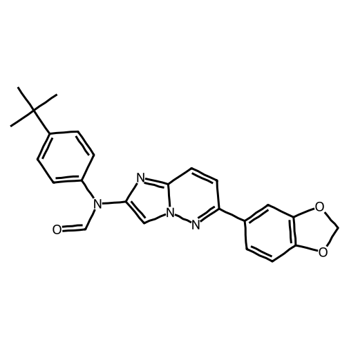 CC(C)(C)c1ccc(N(C=O)c2cn3nc(-c4ccc5c(c4)OCO5)ccc3n2)cc1